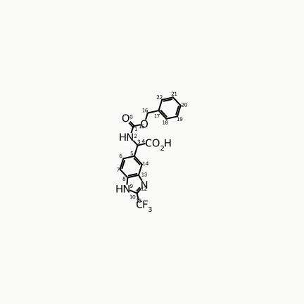 O=C(NC(C(=O)O)c1ccc2[nH]c(C(F)(F)F)nc2c1)OCc1ccccc1